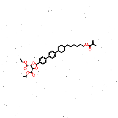 C=C(C)C(=O)OCCCCCCC1CCC(c2ccc(-c3ccc(C4O[C@@H](C(=O)OCC)[C@H](C(=O)OCC)O4)cc3)cc2)CC1